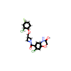 O=C1COc2cc(Cl)c(C(=O)N3CC(COc4ccc(F)cc4Cl)C3)cc2N1